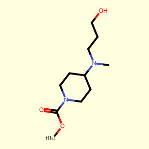 CN(CCCO)C1CCN(C(=O)OC(C)(C)C)CC1